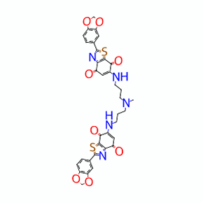 CN(CCCNC1=CC(=O)c2nc(-c3ccc4c(c3)OCO4)sc2C1=O)CCCNC1=CC(=O)c2nc(-c3ccc4c(c3)OCO4)sc2C1=O